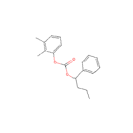 CCCC(OC(=O)Oc1cccc(C)c1C)c1ccccc1